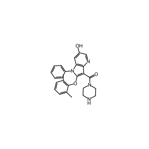 Cc1cccc(C)c1Oc1c(C(=O)N2CCNCC2)c2ncc(O)cc2n1-c1ccccc1